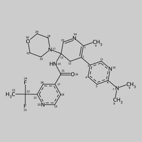 CC1=C(c2ccc(N(C)C)nc2)CC(NC(=O)c2ccnc(C(C)(F)F)c2)(N2CCOCC2)C=N1